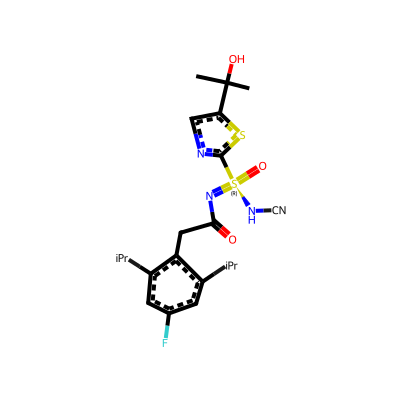 CC(C)c1cc(F)cc(C(C)C)c1CC(=O)N=[S@](=O)(NC#N)c1ncc(C(C)(C)O)s1